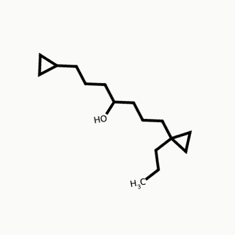 CCCC1(CCCC(O)CCCC2CC2)CC1